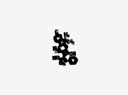 CN1C(=CC2C(O)C(c3c(-c4ccccc4)noc3O)C2O)C(C)(C)c2cc(Cl)ccc21